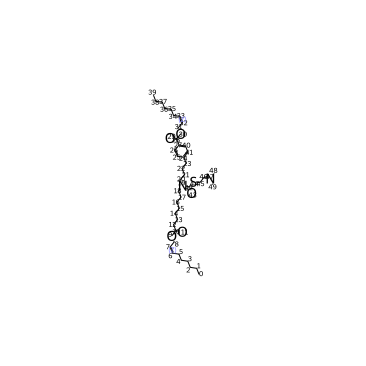 CCCCCC/C=C\COC(=O)CCCCCCCN(CCCCc1ccc(C(=O)OC/C=C\CCCCCC)cc1)C(=O)SCCN(C)C